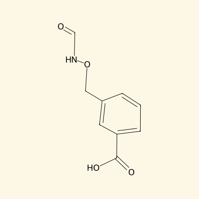 O=CNOCc1cccc(C(=O)O)c1